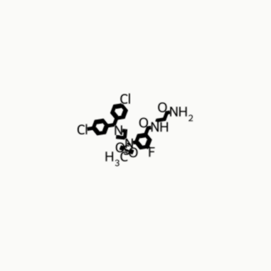 CS(=O)(=O)N(c1cc(F)cc(C(=O)NCCC(N)=O)c1)C1CN(C(c2ccc(Cl)cc2)c2ccc(Cl)cc2)C1